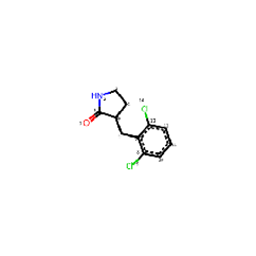 O=C1NCCC1Cc1c(Cl)cccc1Cl